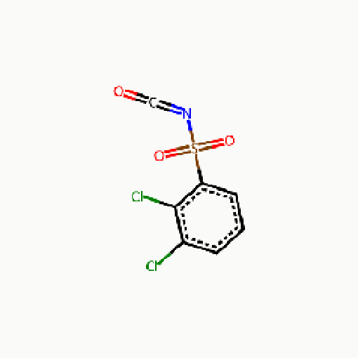 O=C=NS(=O)(=O)c1cccc(Cl)c1Cl